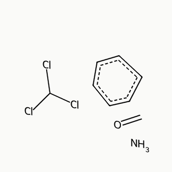 C=O.ClC(Cl)Cl.N.c1ccccc1